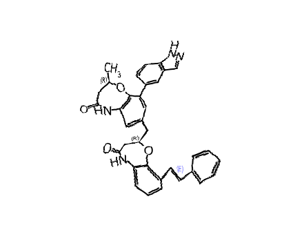 C[C@@H]1CC(=O)Nc2cc(C[C@@H]3CC(=O)Nc4cccc(/C=C/c5ccccc5)c4O3)cc(-c3ccc4[nH]ncc4c3)c2O1